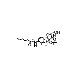 CCCCCC(=O)ONc1ccn([C@@H]2O[C@H](CO)[C@H]3OC(C)(C)O[C@H]32)c(=O)n1